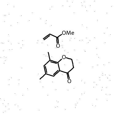 C=CC(=O)OC.Cc1cc(C)c2c(c1)C(=O)CCO2